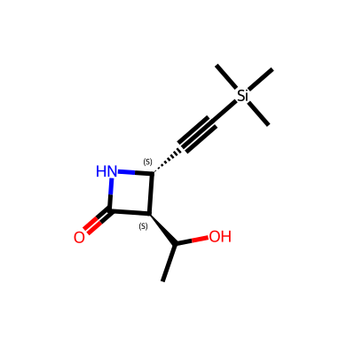 CC(O)[C@H]1C(=O)N[C@@H]1C#C[Si](C)(C)C